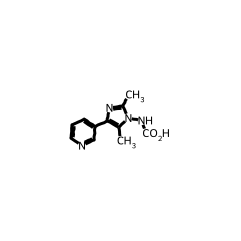 Cc1nc(-c2cccnc2)c(C)n1NC(=O)O